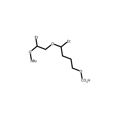 CCCCOC(CC)COC(CC)CCCOC(=O)O